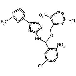 O=[N+]([O-])c1ccc(Cl)cc1COC(Nc1nc(-c2cccc(C(F)(F)F)c2)cs1)c1cc(Cl)ccc1[N+](=O)[O-]